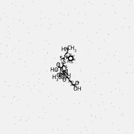 CNCCN(C(=S)SCC1=C(C(=O)O)N2C(=O)[C@](NC(=O)CCCCC(=O)O)(OC)[C@@H]2SC1)c1ccccc1